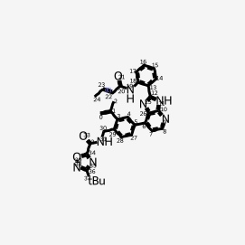 C=C(C)c1cc(-c2ccnc3[nH]c(-c4ccccc4NC(=O)/C=C/C)nc23)ccc1CNC(=O)c1nc(C(C)(C)C)no1